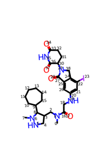 CN(CC1CNN(C)C1C1CCCCCC1)C(=O)CNc1cc(I)c2c(c1)C(=O)N(C1CCC(=O)NC1=O)C2